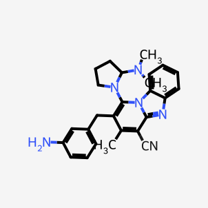 Cc1c(Cc2cccc(N)c2)c(N2CCCC2N(C)C)n2c(nc3ccccc32)c1C#N